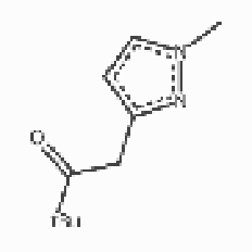 Cn1ccc(CC(=O)C(C)(C)C)n1